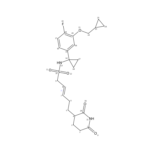 O=C1CCC(CC/C=C/CS(=O)(=O)NC2(c3ccc(F)c(OCC4CC4)c3)CC2)C(=O)N1